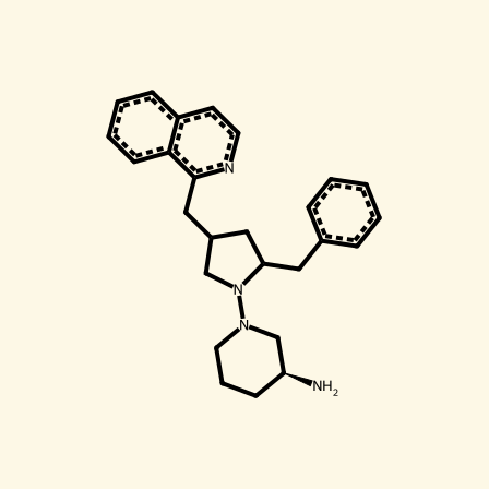 N[C@H]1CCCN(N2CC(Cc3nccc4ccccc34)CC2Cc2ccccc2)C1